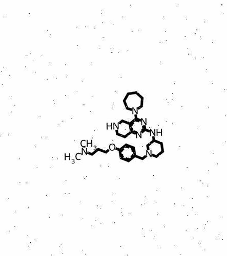 CN(C)CCCOc1ccc(CN2CCCC(Nc3nc4c(c(N5CCCCCC5)n3)CNCC4)C2)cc1